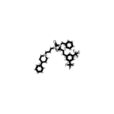 O=c1n(CCCN2CCC(c3ccccc3)CC2)nc(CCc2cc(C(F)(F)F)cc(C(F)(F)F)c2)n1Cc1ccccc1